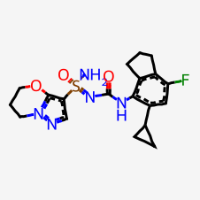 N[S@@](=O)(=NC(=O)Nc1c(C2CC2)cc(F)c2c1CCC2)c1cnn2c1OCCC2